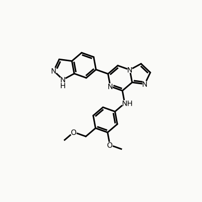 COCc1ccc(Nc2nc(-c3ccc4cn[nH]c4c3)cn3ccnc23)cc1OC